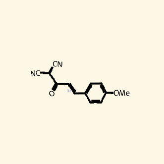 COc1ccc(/C=C/C(=O)C(C#N)C#N)cc1